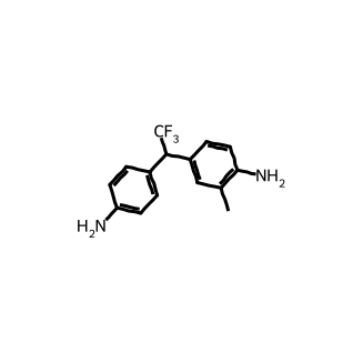 Cc1cc(C(c2ccc(N)cc2)C(F)(F)F)ccc1N